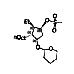 [CH2]C[C@@H]1[C@@H](CCCCCCCC)[C@H](OC2CCCCO2)C[C@@H]1OS(C)(=O)=O